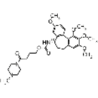 COc1ccc2c(c1)[C@@H](NC(=O)OCCCC(=O)N1CCN(C)CC1)CCc1cc(OC)c(OC)c(OC)c1-2